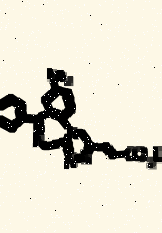 CCOC(=O)CCC1=NN=C2CN=C(c3ccccc3)c3cc([N+](=O)[O-])ccc3N2C1